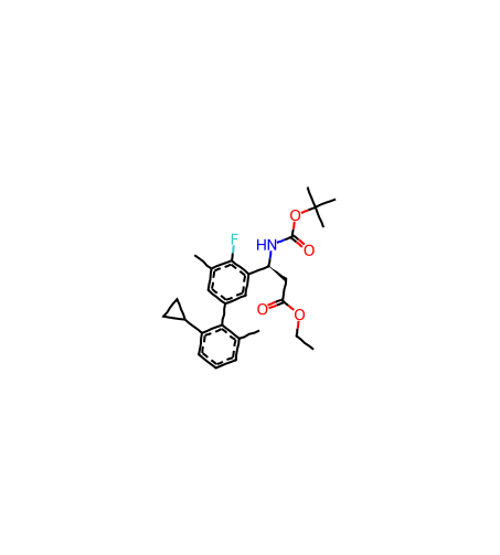 CCOC(=O)C[C@H](NC(=O)OC(C)(C)C)c1cc(-c2c(C)cccc2C2CC2)cc(C)c1F